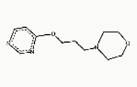 [c]1nccc(OCCCN2CCOCC2)n1